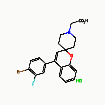 Cl.O=C(O)CN1CCC2(C=C(c3ccc(Br)c(F)c3)c3ccccc3O2)CC1